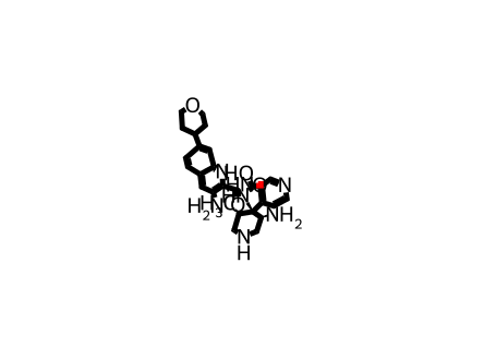 C[C@H]1CNC[C@@H](N)[C@@]1(NC(=O)O)c1ccncc1NC(=O)c1nc2cc(C3CCOCC3)ccc2cc1N